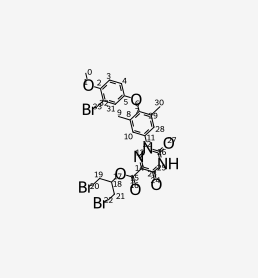 COc1ccc(Oc2c(C)cc(-n3nc(C(=O)OC(CBr)CBr)c(=O)[nH]c3=O)cc2C)cc1Br